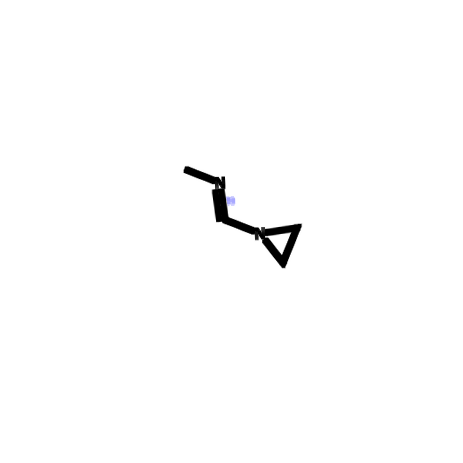 C/N=C/N1CC1